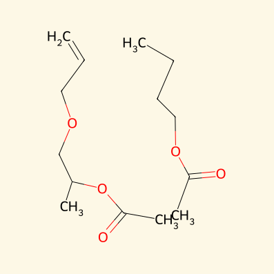 C=CCOCC(C)OC(C)=O.CCCCOC(C)=O